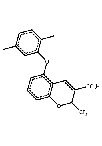 Cc1ccc(C)c(Oc2cccc3c2C=C(C(=O)O)C(C(F)(F)F)O3)c1